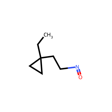 CCC1(CCN=O)CC1